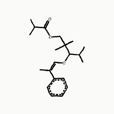 C/C(=C/OC(C(C)C)C(C)(C)COC(=O)C(C)C)c1ccccc1